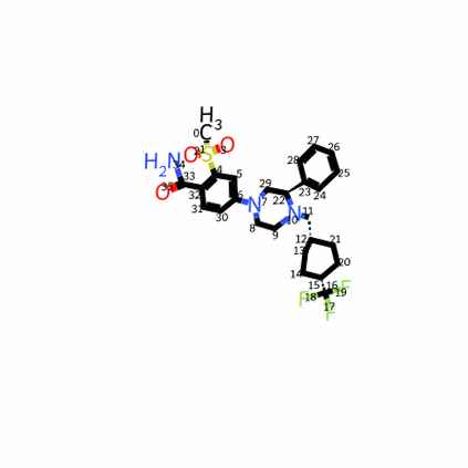 CS(=O)(=O)c1cc(N2CCN(C[C@H]3CC[C@@H](C(F)(F)F)CC3)[C@H](c3ccccc3)C2)ccc1C(N)=O